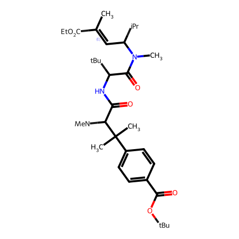 CCOC(=O)/C(C)=C/C(C(C)C)N(C)C(=O)C(NC(=O)C(NC)C(C)(C)c1ccc(C(=O)OC(C)(C)C)cc1)C(C)(C)C